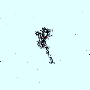 CC(=O)COCCCCCOCCC(=O)NCC(=O)O[C@@H](C(=O)O[C@H]1C[C@@]2(O)[C@@H](OC(=O)c3ccccc3)CC3C(C)(C(=O)[C@H](O)C(=C1C)C2(C)C)[C@@H](O)CC1OC[C@]13C)[C@@H](NC(C)=O)c1ccccc1